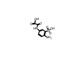 Nc1ccc(NC(=O)C(=O)O)cc1S(=O)(=O)O